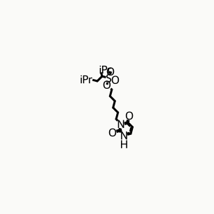 CC(C)CC(C(C)C)S(=O)(=O)OCCCCCCn1c(=O)cc[nH]c1=O